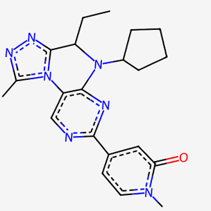 CCC1c2nnc(C)n2-c2cnc(-c3ccn(C)c(=O)c3)nc2N1C1CCCC1